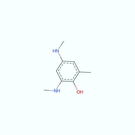 CNc1cc(C)c(O)c(NC)c1